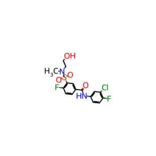 CN(CCO)S(=O)(=O)c1cc(C(=O)Nc2ccc(F)c(Cl)c2)ccc1F